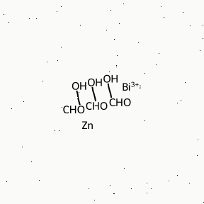 O=[C-]O.O=[C-]O.O=[C-]O.[Bi+3].[Zn]